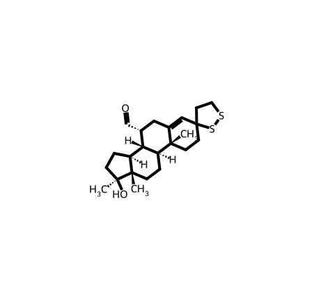 C[C@]12CCC3(C=C1C[C@@H](C=O)[C@@H]1[C@@H]2CC[C@@]2(C)[C@H]1CC[C@]2(C)O)CCSS3